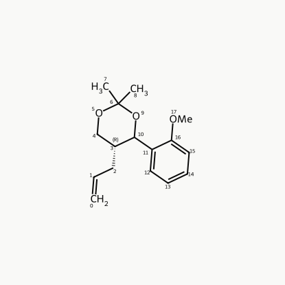 C=CC[C@@H]1COC(C)(C)OC1c1ccccc1OC